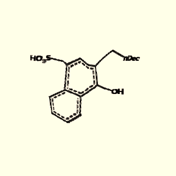 CCCCCCCCCCCc1cc(S(=O)(=O)O)c2ccccc2c1O